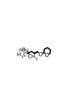 CCCCC(C)(C)C/C=[C]/OC1CCCCO1